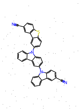 N#Cc1ccc2sc3ccc(-n4c5ccccc5c5cc(-n6c7ccccc7c7cc(C#N)ccc76)ccc54)cc3c2c1